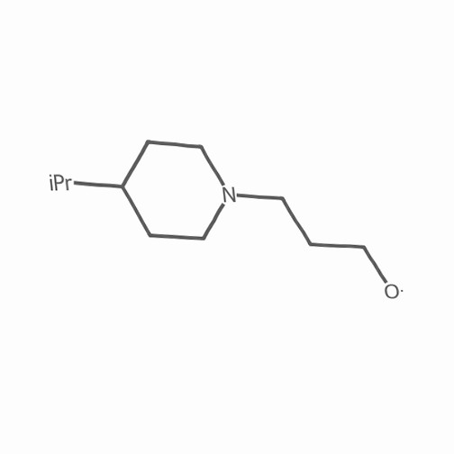 CC(C)C1CCN(CCC[O])CC1